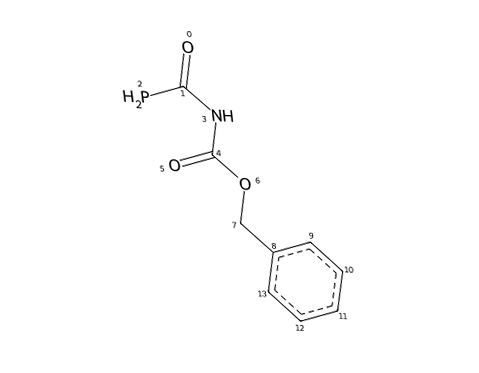 O=C(P)NC(=O)OCc1ccccc1